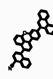 N#Cc1ccc(-c2ccc3c4c(cccc24)Oc2cc(-c4cc5ccccc5c5ccccc45)ccc2-3)c2ccccc12